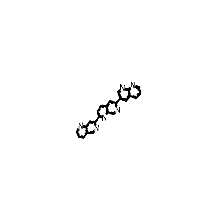 c1cnc2cc(-c3ccc4cc(-c5cnc6ncccc6c5)ncc4n3)ncc2c1